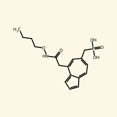 CCCCONC(=O)Cc1cc(CP(=O)(O)O)ccc2cccc1-2